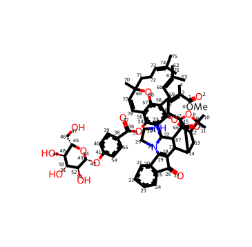 COC(=O)/C(C)=C\CC12OC(C)(C)C3CC(C1=O)C1C4=C(c5ccccc5C4=O)N4CCNC45c4c(OC(=O)c6ccc(O[C@H]7O[C@@H](CO)[C@H](O)[C@@H](O)[C@@H]7O)cc6)c6c(c(CC=C(C)C)c4OC32C15)OC(C)(CCC=C(C)C)C=C6